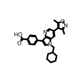 Cc1noc(C)c1-c1cnc2c(-c3ccc(C(=O)O)cc3)cn(CC3CCCCC3)c2c1